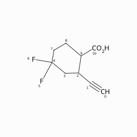 C#CC1CC(F)(F)CCC1C(=O)O